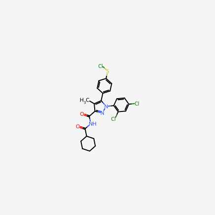 Cc1c(C(=O)NC(=O)C2CCCCC2)nn(-c2ccc(Cl)cc2Cl)c1-c1ccc(SCl)cc1